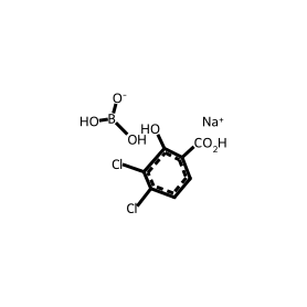 O=C(O)c1ccc(Cl)c(Cl)c1O.[Na+].[O-]B(O)O